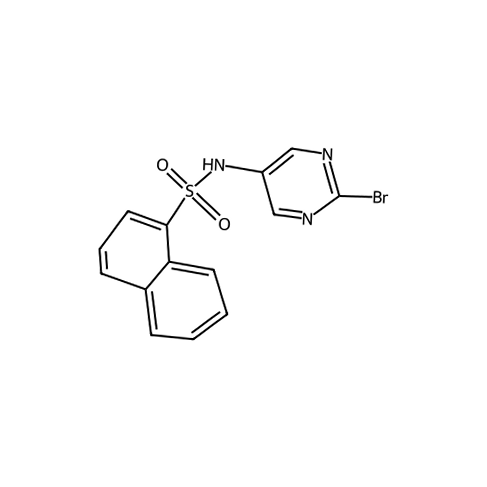 O=S(=O)(Nc1cnc(Br)nc1)c1cccc2ccccc12